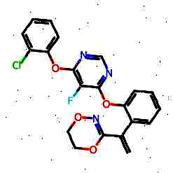 C=C(C1=NOCCO1)c1ccccc1Oc1ncnc(Oc2ccccc2Cl)c1F